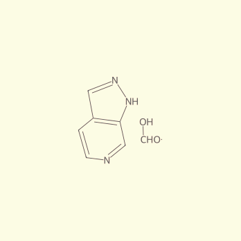 O=[C]O.c1cc2cn[nH]c2cn1